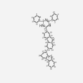 c1ccc(C2=NC(c3ccccc3)NC(c3ccc4c(c3)oc3ccc(-c5cccc6c5sc5ccccc56)cc34)=N2)cc1